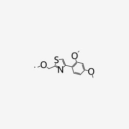 [CH2]OCc1nc(-c2ccc(OC)cc2OC)cs1